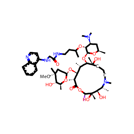 CO[C@]1(C)C[C@H](O[C@H]2[C@H](C)[C@@H](O[C@@H]3O[C@H](C)C[C@H](N(C)C)[C@H]3OC(C)CCNC(=O)CNc3ccnc4ccccc34)[C@](C)(O)CCCN(C)[C@H](C)[C@@H](O)[C@](C)(O)[C@@H](I)OC(=O)[C@@H]2C)O[C@@H](C)[C@@H]1O